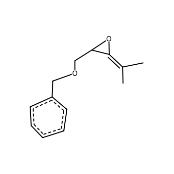 CC(C)=C1OC1COCc1ccccc1